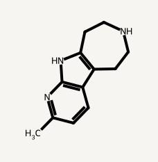 Cc1ccc2c3c([nH]c2n1)CCNCC3